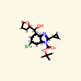 CC(C)(C)OC(=O)n1c(C2CC2)nc2c(C(O)C3CCCO3)cc(Br)cc21